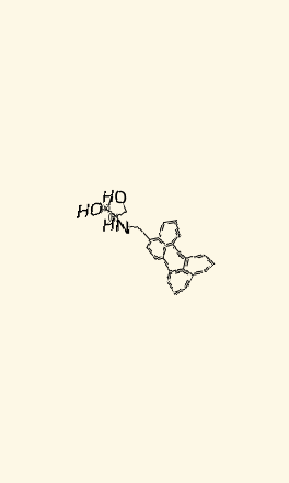 C[C@H](O)[C@@](C)(CO)NCc1ccc2c3cccc4cccc(c5cccc1c52)c43